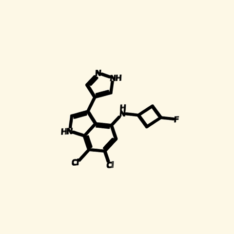 FC1CC(Nc2cc(Cl)c(Cl)c3[nH]cc(-c4cn[nH]c4)c23)C1